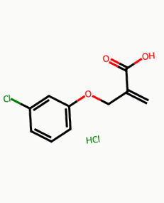 C=C(COc1cccc(Cl)c1)C(=O)O.Cl